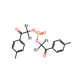 CCC(CC)(O[PH](=O)OC(CC)(CC)C(=O)c1ccc(C)cc1)C(=O)c1ccc(C)cc1